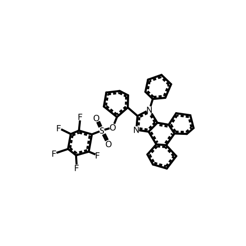 O=S(=O)(Oc1ccccc1-c1nc2c3ccccc3c3ccccc3c2n1-c1ccccc1)c1c(F)c(F)c(F)c(F)c1F